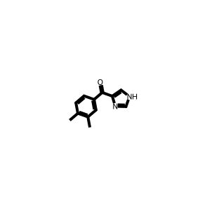 Cc1ccc(C(=O)c2c[nH]cn2)cc1C